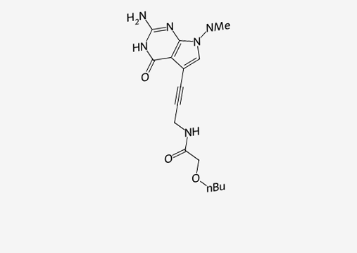 CCCCOCC(=O)NCC#Cc1cn(NC)c2nc(N)[nH]c(=O)c12